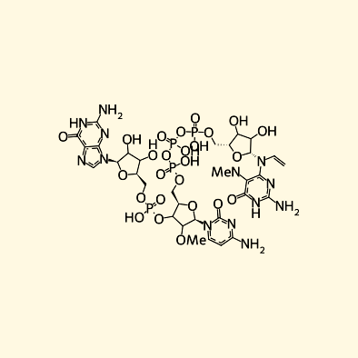 C=CN(c1nc(N)[nH]c(=O)c1NC)[C@@H]1O[C@H](COP(=O)(O)OP(=O)(O)OP(=O)(O)OC[C@H]2O[C@@H](n3ccc(N)nc3=O)C(OC)C2OP(=O)(O)OC[C@H]2O[C@@H](n3cnc4c(=O)[nH]c(N)nc43)C(O)C2O)C(O)C1O